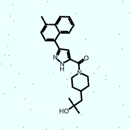 Cc1ccc(-c2cc(C(=O)N3CCC(CC(C)(C)O)CC3)[nH]n2)c2ccccc12